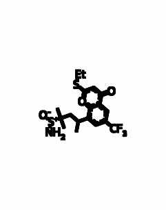 CCSc1cc(=O)c2cc(C(F)(F)F)cc(C(C)CC(C)(C)[S+](N)[O-])c2o1